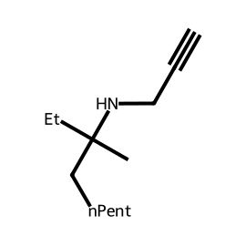 C#CCNC(C)(CC)CCCCCC